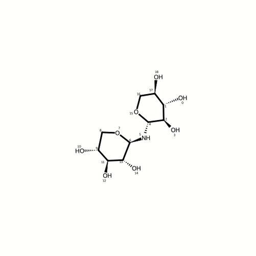 O[C@@H]1[C@@H](O)[C@H](N[C@@H]2OC[C@@H](O)[C@H](O)[C@H]2O)OC[C@H]1O